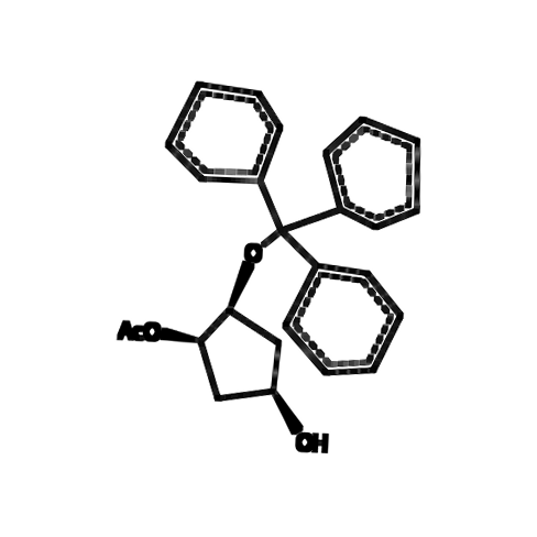 CC(=O)O[C@@H]1C[C@H](O)C[C@@H]1OC(c1ccccc1)(c1ccccc1)c1ccccc1